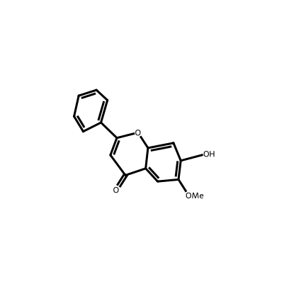 COc1cc2c(=O)cc(-c3ccccc3)oc2cc1O